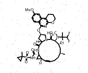 CC[C@@H]1C[C@@H](C)CCC=C[C@@H]2C[C@@]2(C(=O)NS(=O)(=O)C2(C)CC2)NC(=O)[C@@H]2C[C@@H](Oc3nc4c(c5cc(OC)ccc35)CCCO4)CN2C(=O)[C@H]1N(C(=O)O)C(C)(C)C(F)F